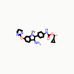 CC(C)N1c2cc(Oc3ncccn3)ccc2C(N)C1c1ccc(NC(=O)O[C@H](C)C2CC2)cc1